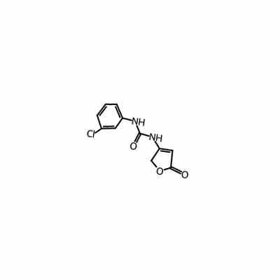 O=C(NC1=CC(=O)OC1)Nc1cccc(Cl)c1